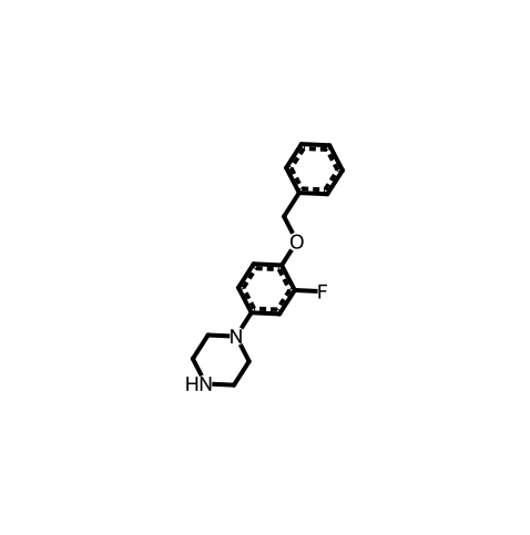 Fc1cc(N2CCNCC2)ccc1OCc1ccccc1